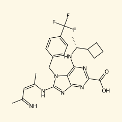 CC(=N)/C=C(/C)Nc1nc2nc(C(=O)O)nc(N[C@H](C)C3CCC3)c2n1Cc1ccc(C(F)(F)F)cc1